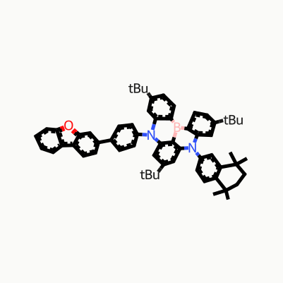 CC(C)(C)c1ccc2c(c1)N(c1ccc(-c3ccc4c(c3)oc3ccccc34)cc1)c1cc(C(C)(C)C)cc3c1B2c1ccc(C(C)(C)C)cc1N3c1ccc2c(c1)C(C)(C)CCC2(C)C